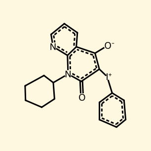 O=c1c([I+]c2ccccc2)c([O-])c2cccnc2n1C1CCCCC1